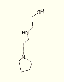 OCCNCCN1CCCC1